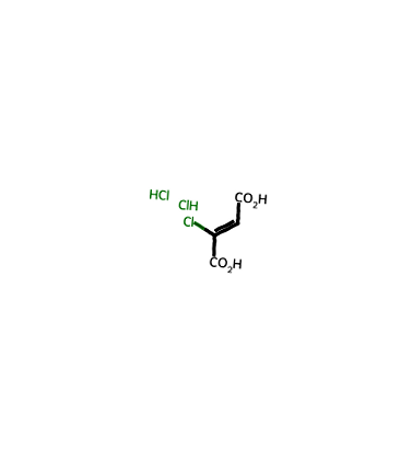 Cl.Cl.O=C(O)C=C(Cl)C(=O)O